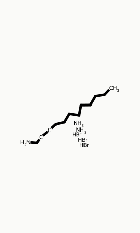 Br.Br.Br.CCCCCCCCCCCCN.N.N